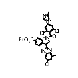 CCOC(=O)c1ccc(C(CNC(=O)c2c(Cl)cc(-n3cnc(C)n3)cc2Cl)c2nc3c(C)cc(Cl)cc3[nH]2)cc1